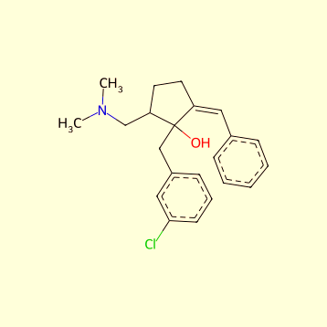 CN(C)CC1CC/C(=C/c2ccccc2)C1(O)Cc1cccc(Cl)c1